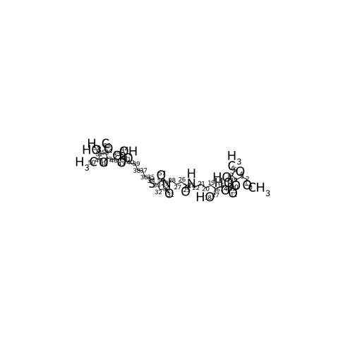 COCC1OC(C)C(O)C1OP(=O)(O)OCC(CO)CCCCNC(=O)CCCN1C(=O)CC(SCCCCCCOP(=O)(O)OCC2OC(C)C(O)C2OC)C1=O